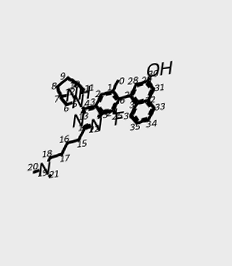 Cc1cc2c(N3CC4CCC(C3)N4)nc(CCCCN(C)C)nc2c(F)c1-c1cc(O)cc2ccccc12